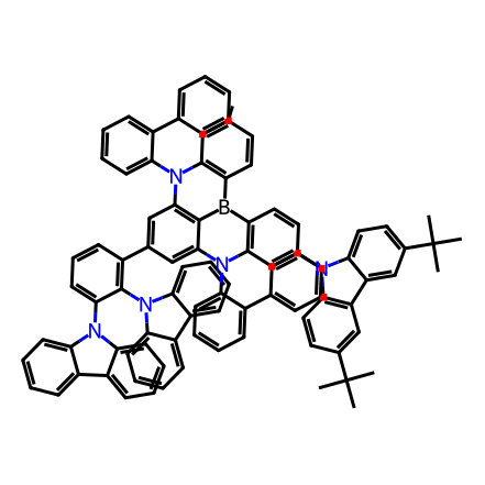 Cc1ccc2c(c1)N(c1ccccc1-c1ccccc1)c1cc(-c3cccc(-n4c5ccccc5c5ccccc54)c3-n3c4ccccc4c4ccccc43)cc3c1B2c1ccc(-n2c4ccc(C(C)(C)C)cc4c4cc(C(C)(C)C)ccc42)cc1N3c1ccccc1-c1ccccc1